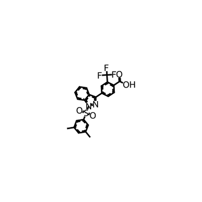 Cc1cc(C)cc(S(=O)(=O)n2nc(-c3ccc(C(=O)O)c(C(F)(F)F)c3)c3ccccc32)c1